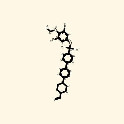 C=CC1CCC(c2ccc(-c3ccc(C(F)(F)Oc4cc(F)c(OCF)c(F)c4)cc3)cc2)CC1